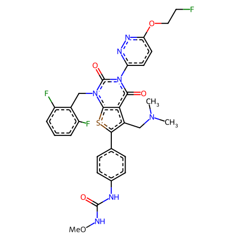 CONC(=O)Nc1ccc(-c2sc3c(c2CN(C)C)c(=O)n(-c2ccc(OCCF)nn2)c(=O)n3Cc2c(F)cccc2F)cc1